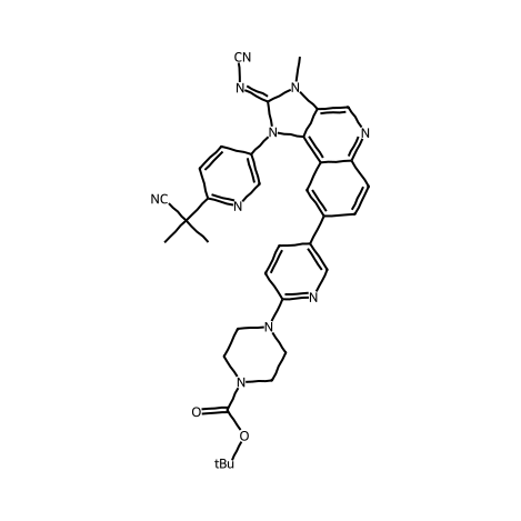 Cn1c(=NC#N)n(-c2ccc(C(C)(C)C#N)nc2)c2c3cc(-c4ccc(N5CCN(C(=O)OC(C)(C)C)CC5)nc4)ccc3ncc21